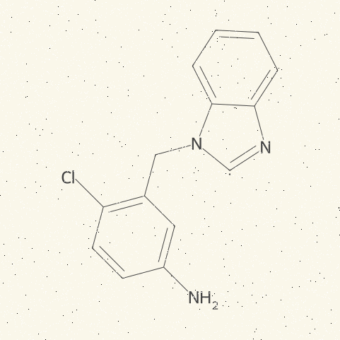 Nc1ccc(Cl)c(Cn2[c]nc3ccccc32)c1